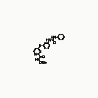 CONC(=O)c1nccc(Sc2cccc(NC(=O)Nc3ccccc3)c2)n1